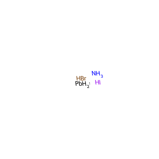 Br.I.N.[PbH2]